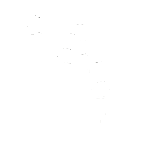 O=C(Nc1ccc(OC(F)(F)F)cc1)N(CC1CCCN(CCc2ccccc2)C1)c1ccccc1